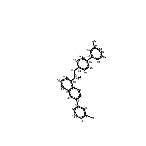 Cc1cncc(-c2ccc3c(NCc4ccc(-c5ccnc(C)c5)nc4)ncnc3c2)c1